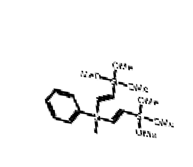 CO[Si](C=C[Si](C)(C=C[Si](OC)(OC)OC)c1ccccc1)(OC)OC